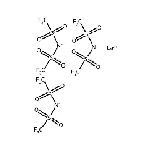 O=S(=O)([N-]S(=O)(=O)C(F)(F)F)C(F)(F)F.O=S(=O)([N-]S(=O)(=O)C(F)(F)F)C(F)(F)F.O=S(=O)([N-]S(=O)(=O)C(F)(F)F)C(F)(F)F.[La+3]